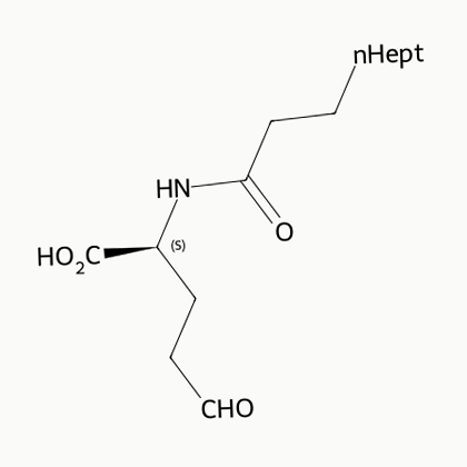 CCCCCCCCCC(=O)N[C@@H](CCC=O)C(=O)O